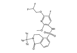 [2H]C([2H])([2H])N1CCc2c(cccc2S(=O)(=O)Nc2cc(F)c(OCC(F)F)nc2OC)C1=O